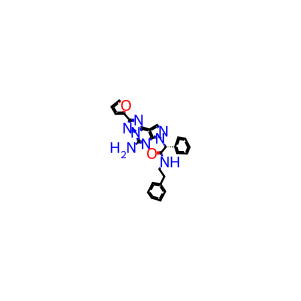 Nc1nc2c(cnn2[C@@H](C(=O)NCCc2ccccc2)c2ccccc2)c2nc(-c3ccco3)nn12